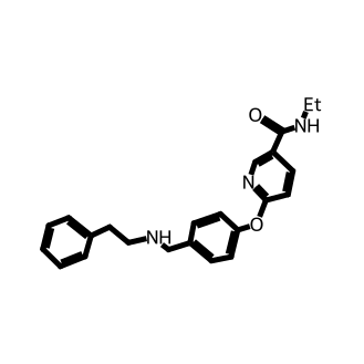 CCNC(=O)c1ccc(Oc2ccc(CNCCc3ccccc3)cc2)nc1